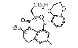 Cc1cc2c3c(c1)[C@@H](c1cccc4c1OCCO4)O[C@H](CC(=O)O)C(=O)N3[C@H](C(C)(C)C)CC2